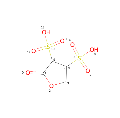 O=C1OC=C(S(=O)(=O)O)C1S(=O)(=O)O